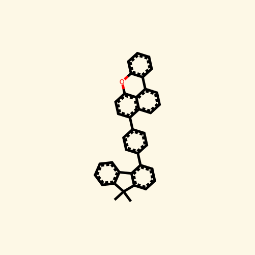 CC1(C)c2ccccc2-c2c(-c3ccc(-c4ccc5c6c(cccc46)-c4ccccc4O5)cc3)cccc21